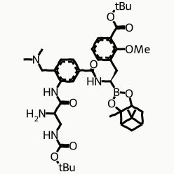 COc1c(C[C@H](NC(=O)c2ccc(CN(C)C)c(NC(=O)C(N)CNC(=O)OC(C)(C)C)c2)B2OC3CC4CC(C4(C)C)C3(C)O2)cccc1C(=O)OC(C)(C)C